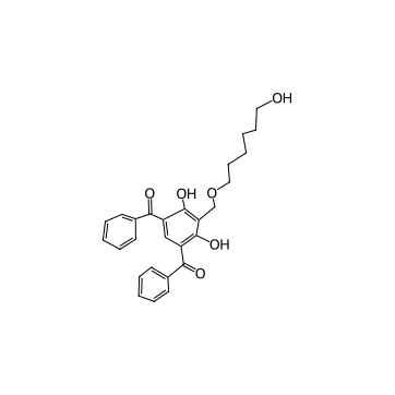 O=C(c1ccccc1)c1cc(C(=O)c2ccccc2)c(O)c(COCCCCCCO)c1O